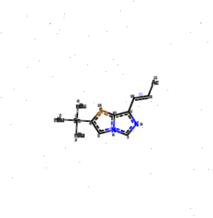 CCC[CH2][Sn]([CH2]CCC)([CH2]CCC)[c]1cn2cnc(/C=C/C(C)=O)c2s1